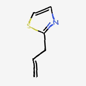 [CH]=CCc1nccs1